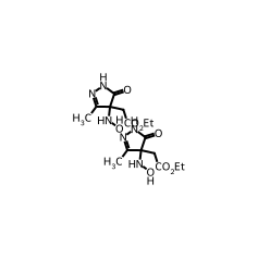 CCOC(=O)CC1(NO)C(=O)NN=C1C.CCOC(=O)CC1(NO)C(=O)NN=C1C